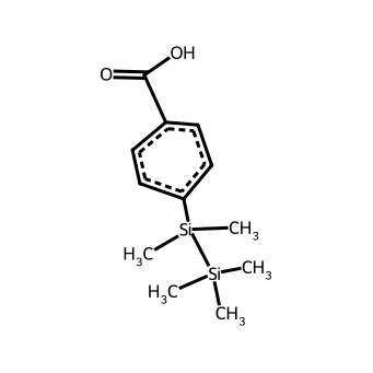 C[Si](C)(C)[Si](C)(C)c1ccc(C(=O)O)cc1